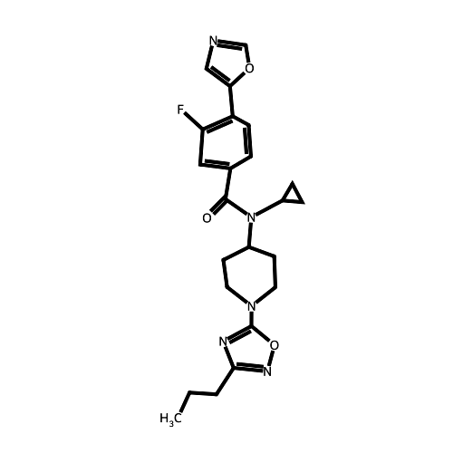 CCCc1noc(N2CCC(N(C(=O)c3ccc(-c4cnco4)c(F)c3)C3CC3)CC2)n1